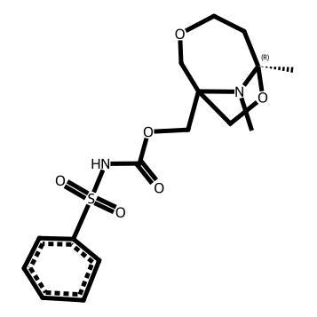 CN1C2(COC(=O)NS(=O)(=O)c3ccccc3)COCC[C@@]1(C)OC2